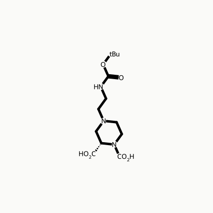 CC(C)(C)OC(=O)NCCN1CCN(C(=O)O)[C@H](C(=O)O)C1